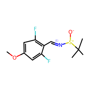 COc1cc(F)c(/C=N/[S+]([O-])C(C)(C)C)c(F)c1